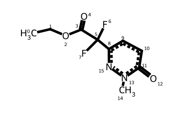 CCOC(=O)C(F)(F)c1ccc(=O)n(C)n1